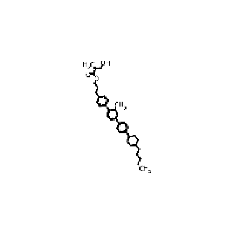 C=C(CO)C(=O)OCCCc1ccc(-c2ccc(-c3ccc(C4CCC(CCCCC)CC4)cc3)cc2C)cc1